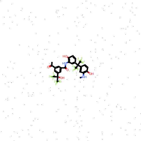 CNc1cc(C(c2ccc(O)c(NC(=O)c3cc(C(C)=O)cc(C(O)(C(F)(F)F)C(F)(F)F)c3)c2)(C(F)(F)F)C(F)(F)F)ccc1O